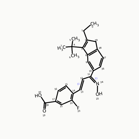 CCC1=C(C(C)(C)C)c2cc(C(/C=C/c3ccc(C(=O)O)cc3F)=N/O)ccc2C1